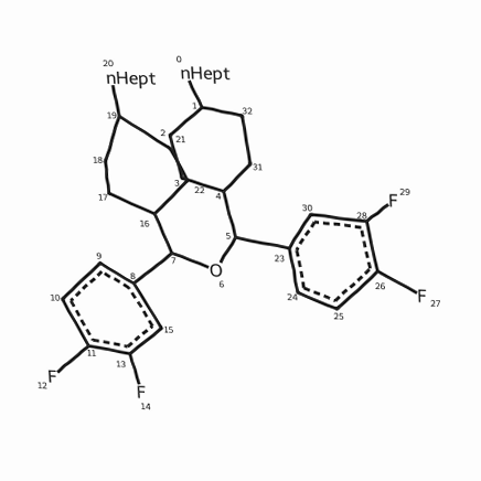 CCCCCCCC1CCC(C(OC(c2ccc(F)c(F)c2)C2CCC(CCCCCCC)CC2)c2ccc(F)c(F)c2)CC1